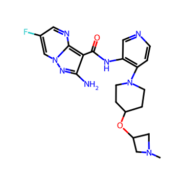 CN1CC(OC2CCN(c3ccncc3NC(=O)c3c(N)nn4cc(F)cnc34)CC2)C1